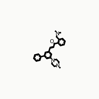 CN(C)Cc1ccccc1C(=O)C=Cc1cc(-c2ccccc2)cc(N2CCN(C)CC2)c1